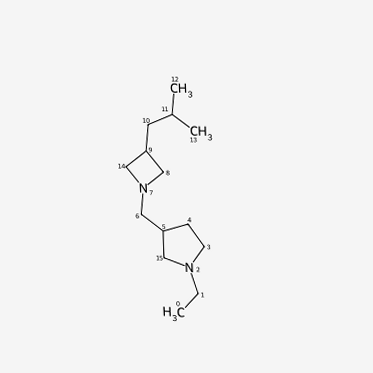 CCN1CCC(CN2CC(CC(C)C)C2)C1